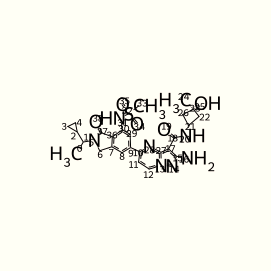 CC(C1CC1)N1Cc2cc(-c3ccn4nc(N)c(C(=O)N[C@H]5C[C@](C)(O)C5)c4n3)cc(NS(C)(=O)=O)c2C1=O